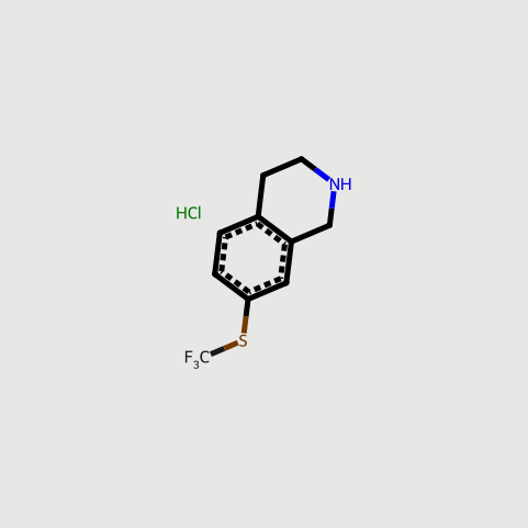 Cl.FC(F)(F)Sc1ccc2c(c1)CNCC2